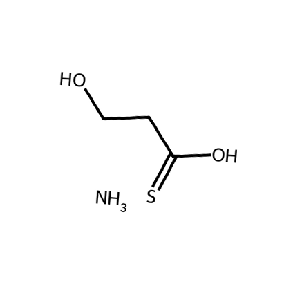 N.OCCC(O)=S